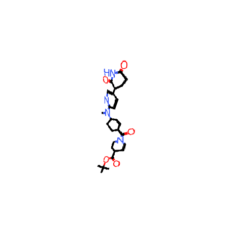 CN(c1ccc(C2CCC(=O)NC2=O)cn1)C1CCC(C(=O)N2CCC(C(=O)OC(C)(C)C)CC2)CC1